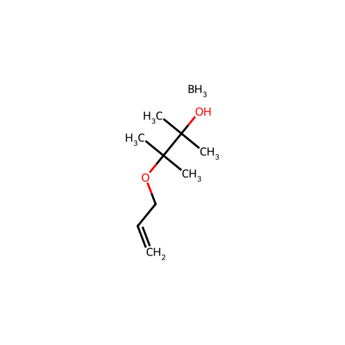 B.C=CCOC(C)(C)C(C)(C)O